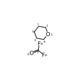 C1CCOCC1.O=C(F)F